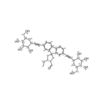 COCCC1(CCC=O)c2cc(C#CC3OC(CO)[C@@H](O)C(O)C3O)ccc2-c2ccc(C#CC3OC(CO)[C@@H](O)C(O)C3O)cc21